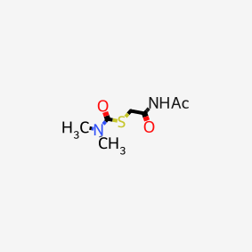 CC(=O)NC(=O)CSC(=O)N(C)C